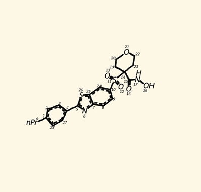 CCCc1ccc(-c2nc3ccc(S(=O)(=O)C4(C(=O)NO)CCOCC4)cc3s2)cc1